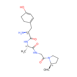 C[C@H](NC(=O)[C@@H](N)CC1=CC=C(O)CC1)C(=O)NCC(=O)N1CCC[C@H]1C=O